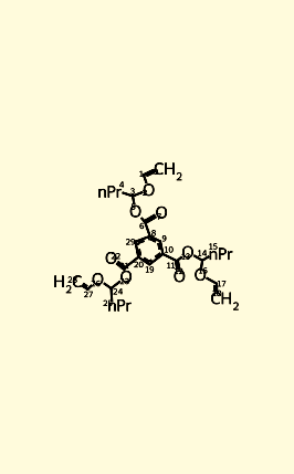 C=COC(CCC)OC(=O)c1cc(C(=O)OC(CCC)OC=C)cc(C(=O)OC(CCC)OC=C)c1